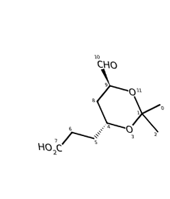 CC1(C)O[C@H](CCC(=O)O)C[C@@H](C=O)O1